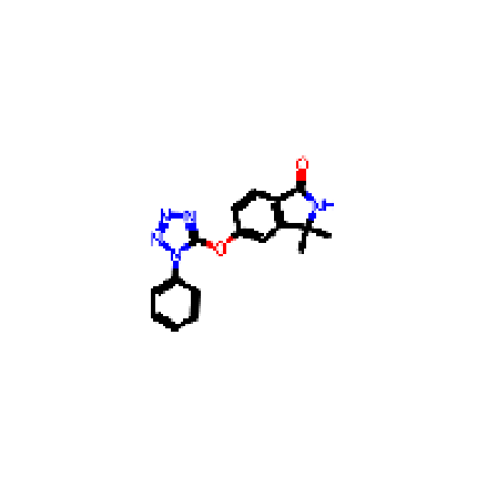 CC1(C)NC(=O)c2ccc(Oc3nnnn3-c3ccccc3)cc21